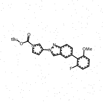 COc1cccc(F)c1-c1ccc2nn(-c3ccn(C(=O)OC(C)(C)C)c3)cc2c1